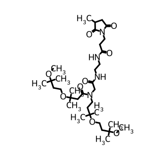 COC(C)(C)CCOC(C)(C)CCN(CC(=O)NCCNC(=O)CCN1C(=O)CC(C)C1=O)C(=O)CC(C)(C)OCCC(C)(C)OC